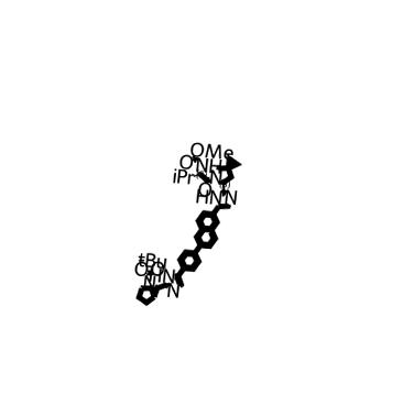 COC(=O)N[C@H](C(=O)N1CC2(CC2)C[C@H]1C1=NCC(c2ccc3cc(-c4ccc(-c5cnc(C6C7CCC(C7)N6C(=O)OC(C)(C)C)[nH]5)cc4)ccc3c2)N1)C(C)C